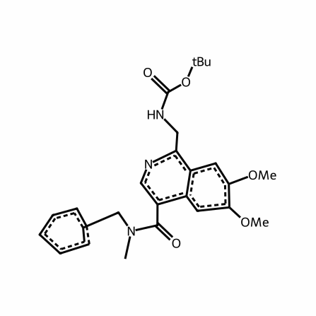 COc1cc2c(C(=O)N(C)Cc3ccccc3)cnc(CNC(=O)OC(C)(C)C)c2cc1OC